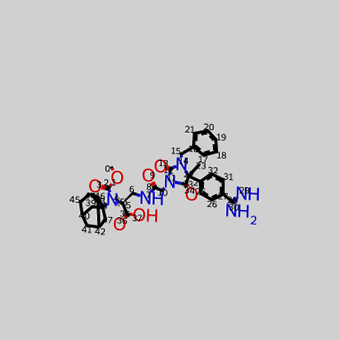 COC(=O)N([C@@H](CNC(=O)CN1C(=O)N(Cc2ccccc2)C(C)(c2ccc(C(=N)N)cc2)C1=O)C(=O)O)C12CC3CC(CC(C3)C1)C2